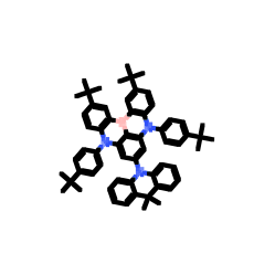 CC(C)(C)c1ccc(N2c3ccc(C(C)(C)C)cc3B3c4cc(C(C)(C)C)ccc4N(c4ccc(C(C)(C)C)cc4)c4cc(N5c6ccccc6C(C)(C)c6ccccc65)cc2c43)cc1